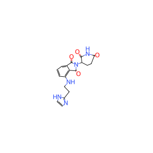 O=C1CCC(N2C(=O)c3cccc(NCCc4ncc[nH]4)c3C2=O)C(=O)N1